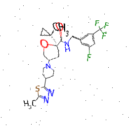 Cc1nnc(C2CCN(C3CC[C@@](C(=O)NCc4cc(F)cc(C(F)(F)F)c4)(C4(C)CC4)OC3)CC2)s1